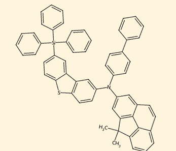 CC1(C)c2cccc3ccc4cc(N(c5ccc(-c6ccccc6)cc5)c5ccc6sc7ccc([Si](c8ccccc8)(c8ccccc8)c8ccccc8)cc7c6c5)cc1c4c23